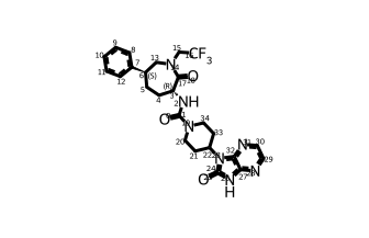 O=C(N[C@@H]1CC[C@@H](c2ccccc2)CN(CC(F)(F)F)C1=O)N1CCC(n2c(=O)[nH]c3nccnc32)CC1